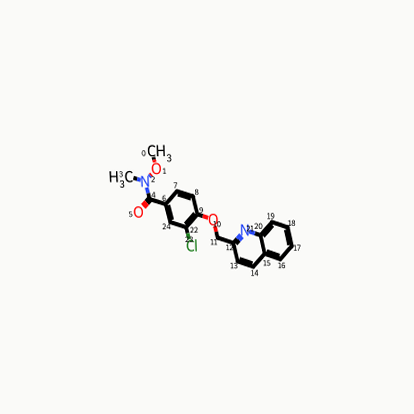 CON(C)C(=O)c1ccc(OCc2ccc3ccccc3n2)c(Cl)c1